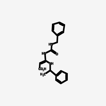 CC(N/C(=C\C(=O)O)NC(=O)NCc1ccccc1)c1ccccc1